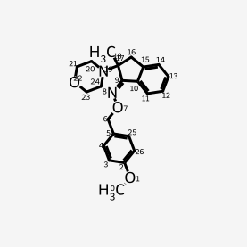 COc1ccc(CON=C2c3ccccc3CC2(C)N2CCOCC2)cc1